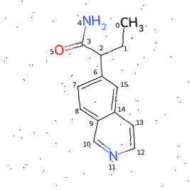 CCC(C(N)=O)c1ccc2cnccc2c1